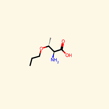 CCCO[C@H](C)[C@H](N)C(=O)O